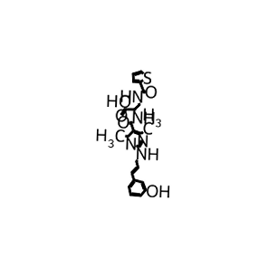 Cc1nc(NCC=Cc2cccc(O)c2)nc(C)c1C(=O)NC(CNC(=O)c1cccs1)C(=O)O